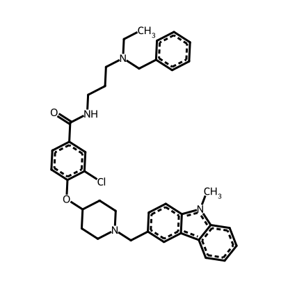 CCN(CCCNC(=O)c1ccc(OC2CCN(Cc3ccc4c(c3)c3ccccc3n4C)CC2)c(Cl)c1)Cc1ccccc1